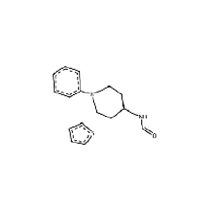 O=CNC1CCN(c2ccccc2)CC1.c1ccsc1